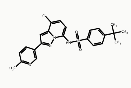 Cc1ccc(-c2cc3c(Cl)ccc(NS(=O)(=O)c4ccc(C(C)(C)C)cc4)n3n2)cn1